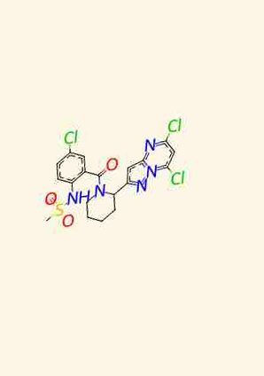 CS(=O)(=O)Nc1ccc(Cl)cc1C(=O)N1CCCCC1c1cc2nc(Cl)cc(Cl)n2n1